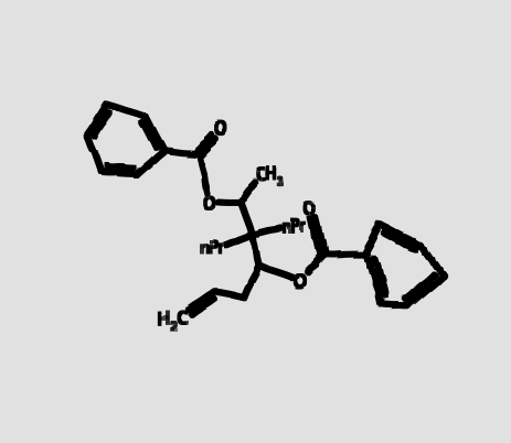 C=CCC(OC(=O)c1ccccc1)C(CCC)(CCC)C(C)OC(=O)c1ccccc1